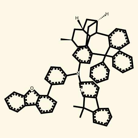 C[C@H]1C[C@@H]2C[C@@H]3C[C@H](C1)C21c2ccc(N(c4cccc(-c5cccc6c5oc5ccccc56)c4)c4ccc5c(c4)C(C)(C)c4ccccc4-5)cc2C(c2ccccc2)(c2ccccc2)c2ccccc2C31